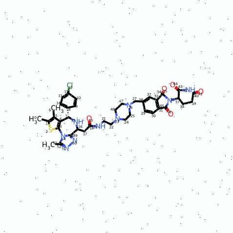 Cc1sc2c(c1C)[C@H](c1ccc(Cl)cc1)NC(CC(=O)NCCN1CCN(Cc3ccc4c(c3)C(=O)N(C3CCC(=O)NC3=O)C4=O)CC1)c1nnc(C)n1-2